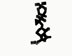 CCOC(=O)c1nn(C)c2c1CCN(CC1(S(=O)(=O)C3(C)COS(O)(O)OC3)CC1)C2=O